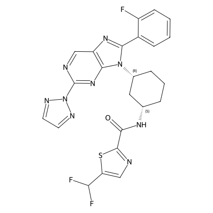 O=C(N[C@H]1CCC[C@@H](n2c(-c3ccccc3F)nc3cnc(-n4nccn4)nc32)C1)c1ncc(C(F)F)s1